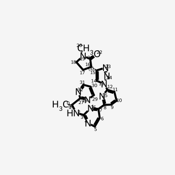 C[C@@H](Nc1nccc(-c2cccc(-n3cc([C@@H]4CCN(C)C4=O)nn3)n2)n1)c1ncccn1